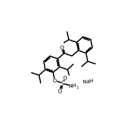 CC(C)c1cccc(C(C)C)c1CC(=O)c1ccc(C(C)C)c(OS(N)(=O)=O)c1C(C)C.[NaH]